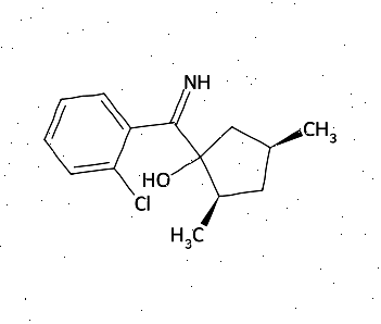 C[C@H]1C[C@@H](C)C(O)(C(=N)c2ccccc2Cl)C1